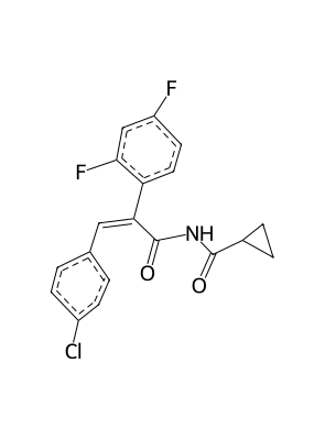 O=C(NC(=O)C1CC1)C(=Cc1ccc(Cl)cc1)c1ccc(F)cc1F